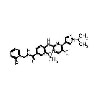 COc1cc(C(=O)NCc2ccccc2F)ccc1Nc1ncc(Cl)c(-c2cnn(C(C)C)c2)n1